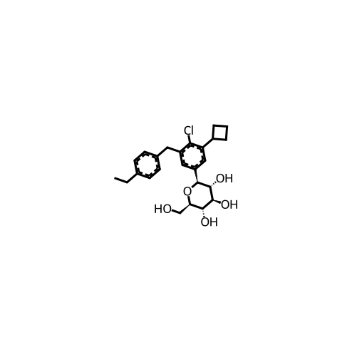 CCc1ccc(Cc2cc([C@@H]3O[C@H](CO)[C@@H](O)[C@H](O)[C@H]3O)cc(C3CCC3)c2Cl)cc1